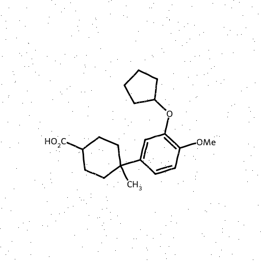 COc1ccc(C2(C)CCC(C(=O)O)CC2)cc1OC1CCCC1